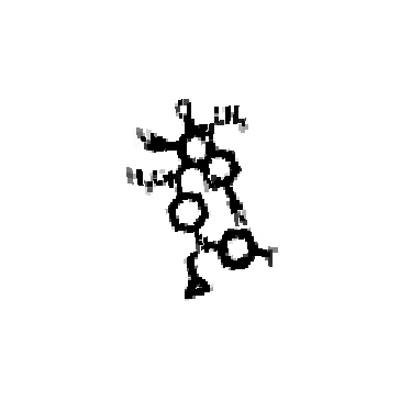 Cn1c(=O)c(C#N)c(N(C)[C@H]2CC[C@H](N(CC3CC3)c3ccc(F)cc3)CC2)c2nc(C#N)ccc21